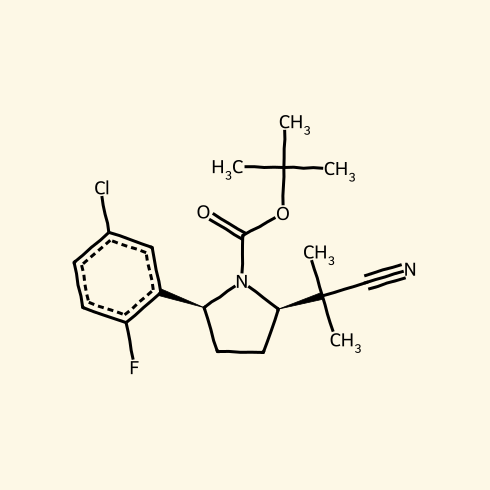 CC(C)(C)OC(=O)N1[C@H](c2cc(Cl)ccc2F)CC[C@@H]1C(C)(C)C#N